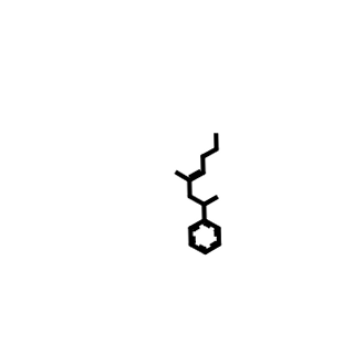 CCCC=C(C)CC(C)c1ccccc1